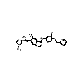 CN1CC[C@@](C)(C#Cc2cc3ncnc(Nc4ccc(OCc5ccccn5)c(Cl)c4)c3cc2[N+](=O)[O-])C1